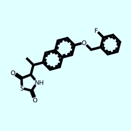 CC(c1ccc2cc(OCc3ccccc3F)ccc2c1)C1NC(=O)SC1=O